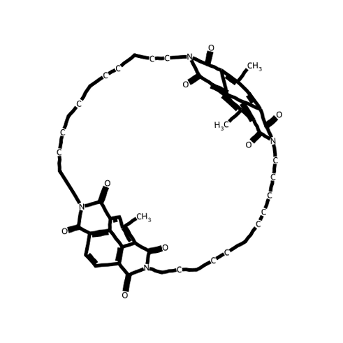 Cc1cc2c3c4ccc5c3c1C(=O)N(CCCCCCCCCCCN1C(=O)c3cc(C)c6c7c(cc(C)c(c37)C1=O)C(=O)N(CCCCCCCCCCCN(C4=O)C2=O)C6=O)C5=O